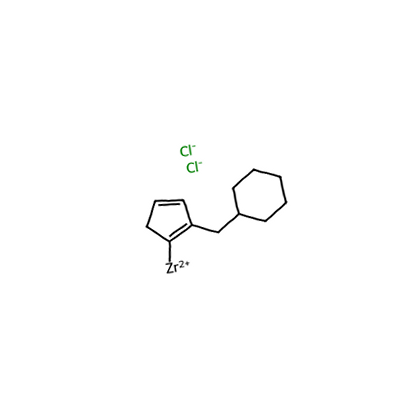 [Cl-].[Cl-].[Zr+2][C]1=C(CC2CCCCC2)C=CC1